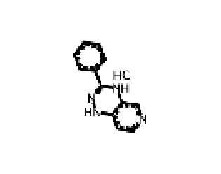 Cl.c1ccc(C2=NNc3ccncc3N2)cc1